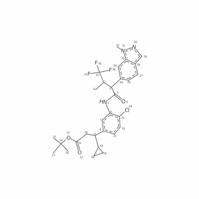 CC(C(C(=O)Nc1cc(C(CC(=O)OC(C)(C)C)C2CC2)ccc1Cl)c1ccc2cnn(C)c2c1)C(F)(F)F